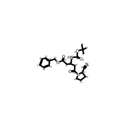 CC(C)(C)OC(=O)NC(CC(=O)OCc1ccccc1)CC(=O)N1CCCC1C#N